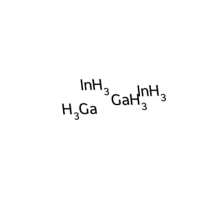 [GaH3].[GaH3].[InH3].[InH3]